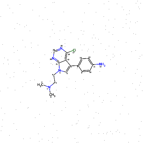 CN(C)CCn1cc(-c2ccc(N)cc2)c2c(Cl)ncnc21